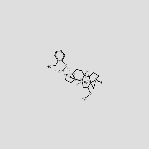 COC1C[C@H]2[C@@H]3CC[C@H](C(C)Oc4cnccc4CO)[C@@]3(C)CC[C@@H]2[C@@]2(C)CC[C@@H]3C[C@]132